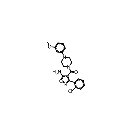 COc1cccc(N2CCN(C(=O)c3c(-c4ccccc4Cl)noc3N)CC2)c1